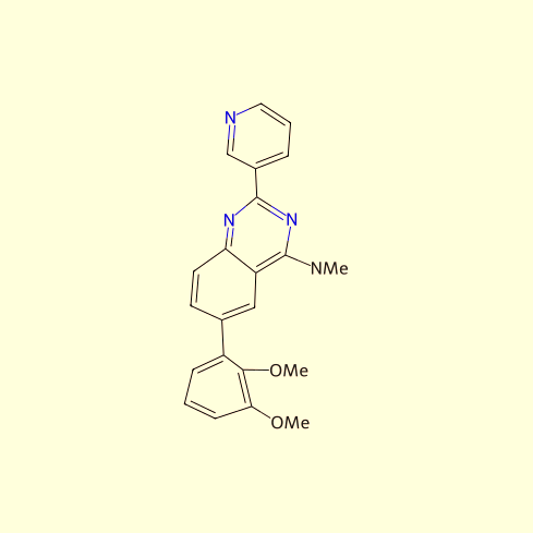 CNc1nc(-c2cccnc2)nc2ccc(-c3cccc(OC)c3OC)cc12